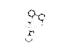 COc1cc(-c2ccccc2NC(=O)N=[S@@](N)(=O)c2cnn3c2OCCC3)ccn1